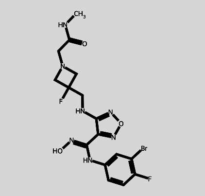 CNC(=O)CN1CC(F)(CNc2nonc2/C(=N/O)Nc2ccc(F)c(Br)c2)C1